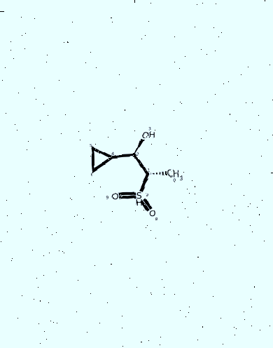 C[C@@H]([C@H](O)C1CC1)[SH](=O)=O